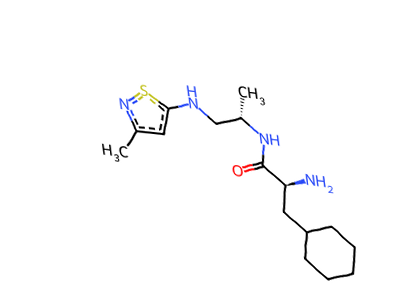 Cc1cc(NC[C@H](C)NC(=O)[C@@H](N)CC2CCCCC2)sn1